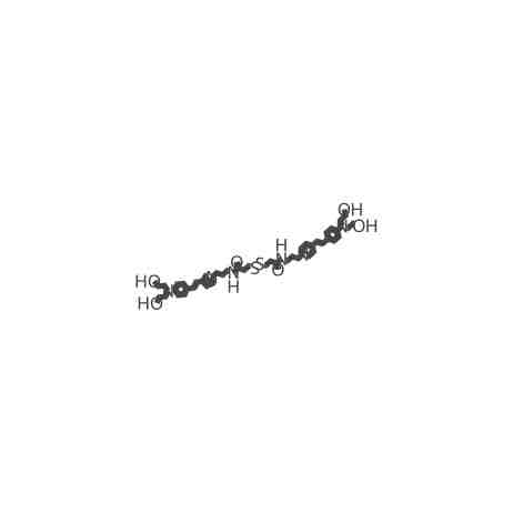 O=C(CCSSCCC(=O)NCCC[n+]1ccc(/C=C/c2ccc(N(CCO)CCO)cc2)cc1)NCCCn1ccc(/C=C/c2ccc(N(CCO)CCO)cc2)c1